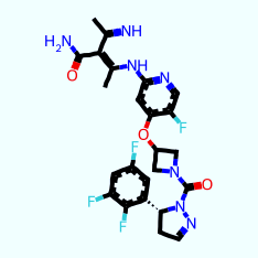 CC(=N)/C(C(N)=O)=C(/C)Nc1cc(OC2CN(C(=O)N3N=CC[C@@H]3c3cc(F)cc(F)c3F)C2)c(F)cn1